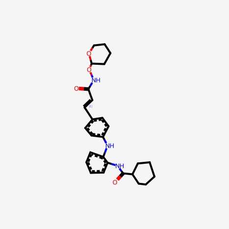 O=C(/C=C/c1ccc(Nc2ccccc2NC(=O)C2CCCCC2)cc1)NOC1CCCCO1